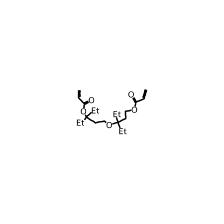 C=CC(=O)OCCC(CC)(CC)OCCC(CC)(CC)OC(=O)C=C